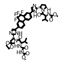 COC(=O)NC(=O)N[C@H](C(=O)N1CC2(C[C@H]1c1ncc(-c3ccc4c(c3)C(F)(F)C(F)(F)c3cc(-c5cnc([C@@H]6CCCN6C(=O)[C@@H](NC(=O)OC)C(C)C)[nH]5)ccc3-4)[nH]1)OCCO2)C(C)C